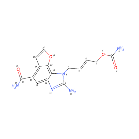 NC(=O)OCC=CCn1c(N)nc2cc(C(N)=O)c3ccoc3c21